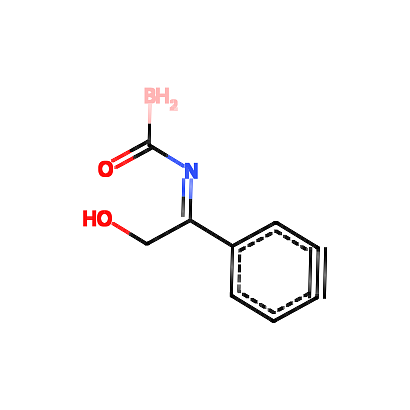 BC(=O)/N=C(\CO)c1cc#ccc1